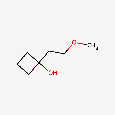 COCCC1(O)CCC1